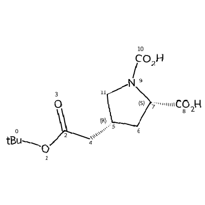 CC(C)(C)OC(=O)C[C@H]1C[C@@H](C(=O)O)N(C(=O)O)C1